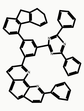 C1=CC2=C(CC1)Cc1cccc(-c3cc(-c4ccc5ccc6ccc(-c7ccccc7)nc6c5n4)cc(-c4nc(-c5ccccc5)nc(-c5ccccc5)n4)c3)c12